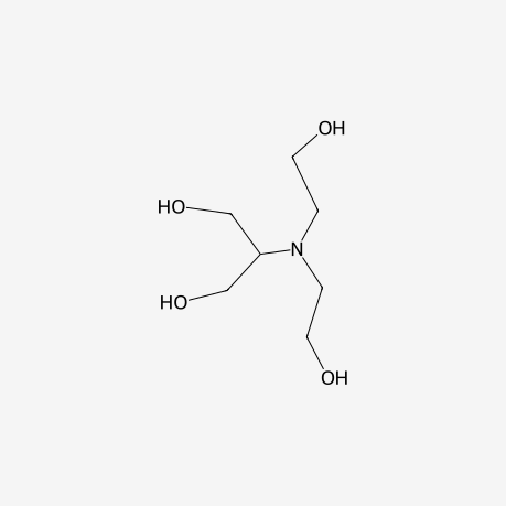 OCCN(CCO)C(CO)CO